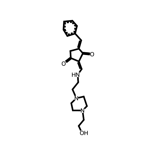 O=C1C/C(=C\c2ccccc2)C(=O)/C1=C/NCCN1CCN(CCO)CC1